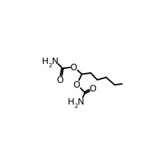 CCCCCC(OC(N)=O)OC(N)=O